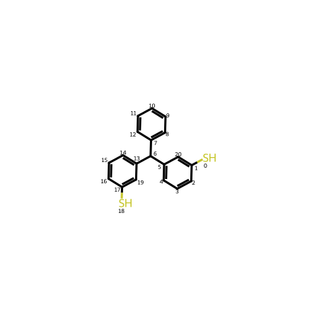 Sc1cccc(C(c2ccccc2)c2cccc(S)c2)c1